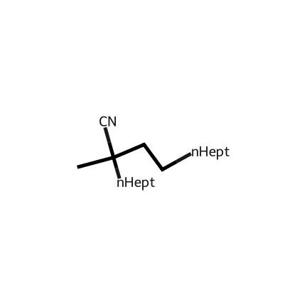 CCCCCCCCCC(C)(C#N)CCCCCCC